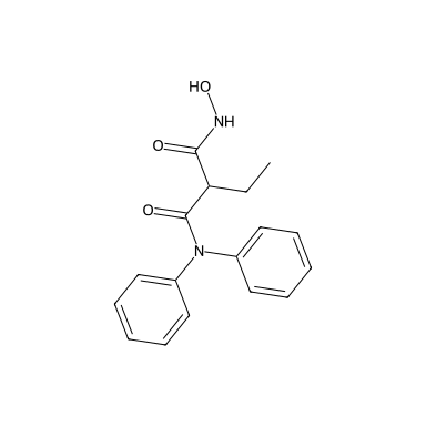 CCC(C(=O)NO)C(=O)N(c1ccccc1)c1ccccc1